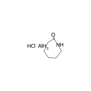 Cl.O=C1CCCCCN1.[AlH3]